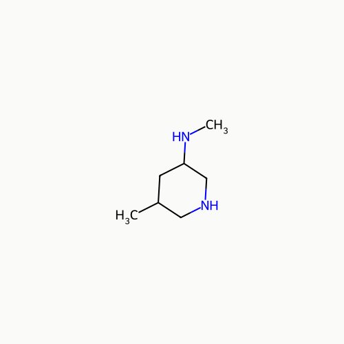 CNC1CNCC(C)C1